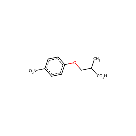 CC(COc1ccc([N+](=O)[O-])cc1)C(=O)O